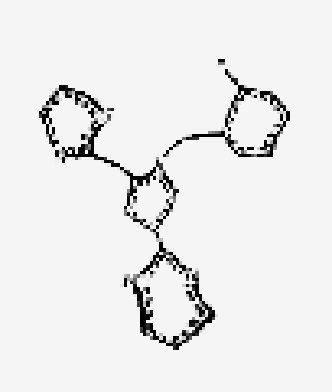 Fc1ccccc1Cn1nc(-c2ncccn2)nc1-c1nccs1